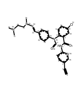 C#Cc1ccc(NC(=O)c2cc(Cl)ccc2N(C=O)c2ccc(C=NN(C)CCN(C)C)cc2)nc1